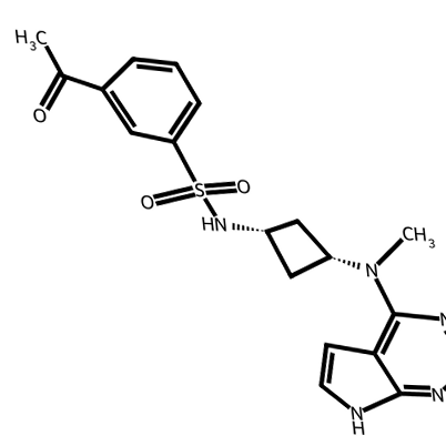 CC(=O)c1cccc(S(=O)(=O)N[C@H]2C[C@@H](N(C)c3ncnc4[nH]ccc34)C2)c1